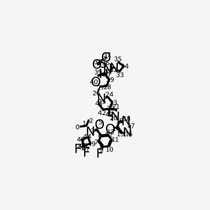 CC(C)N(C(=O)c1cc(F)ccc1Oc1cncnc1N1CC2(CCN(C[C@@H]3CC[C@@H](N(N4CCC4)[SH](=O)=O)CO3)CC2)C1)C1CC(F)(F)C1